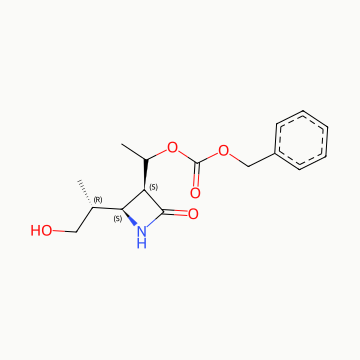 CC(OC(=O)OCc1ccccc1)[C@H]1C(=O)N[C@H]1[C@@H](C)CO